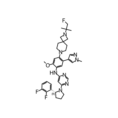 COc1cc(N2CCC3(CC2)CN(C(C)(C)CF)C3)c(-c2cnn(C)c2)cc1Nc1cc(N2CCC[C@@H]2c2cccc(F)c2F)ncn1